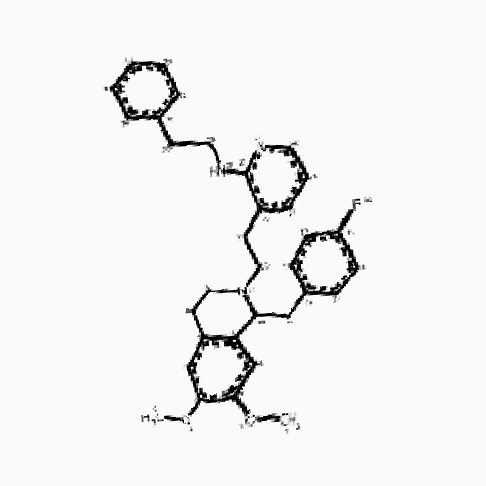 COc1cc2c(cc1OC)C(Cc1ccc(F)cc1)N(C[CH]c1cccnc1NCCc1ccccc1)CC2